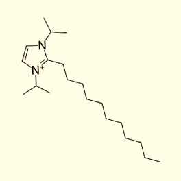 CCCCCCCCCCCc1n(C(C)C)cc[n+]1C(C)C